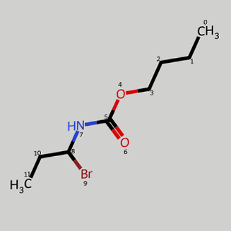 CCCCOC(=O)NC(Br)CC